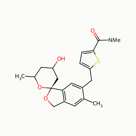 CNC(=O)c1ccc(Cc2cc3c(cc2C)CO[C@@]32CC(O)CC(C)O2)s1